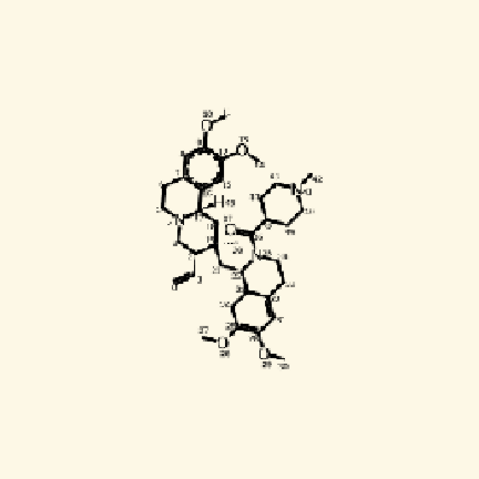 C=C[C@H]1CN2CCc3cc(OC)c(OC)cc3[C@@H]2C[C@@]1(C)C[C@@H]1C2CC(OC)=C(OC)C=C2CCN1C(=O)C1CCN(C)CC1